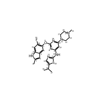 Cc1cc2cc(Oc3nc(Nc4ncc(C(C)C)s4)cc(N4CCN(C)CC4)n3)c(F)cc2[nH]1